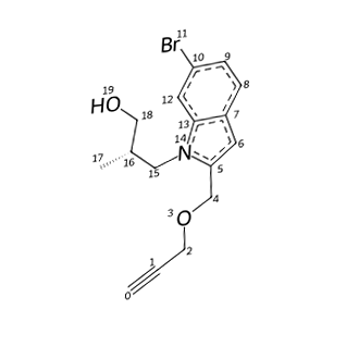 C#CCOCc1cc2ccc(Br)cc2n1C[C@H](C)CO